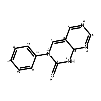 O=C1NC2N=CN=CC2=CN1c1ccccc1